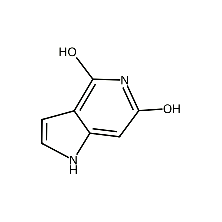 Oc1cc2[nH]ccc2c(O)n1